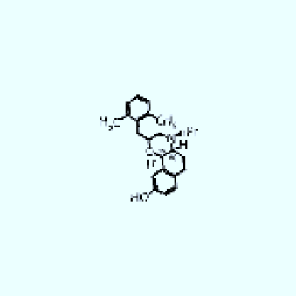 CCCN1CC(Cc2c(C)cccc2C)O[C@@H]2c3cc(O)ccc3CC[C@H]21